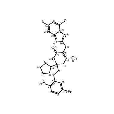 CCc1ccc(O)c(CCC2(C3CCCC3)CC(O)=C(Cc3nc4nc(C)cc(C)n4n3)C(=O)O2)c1